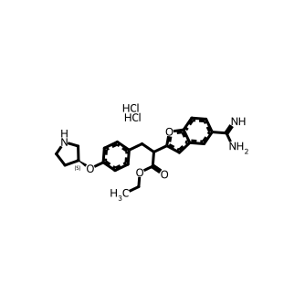 CCOC(=O)C(Cc1ccc(O[C@H]2CCNC2)cc1)c1cc2cc(C(=N)N)ccc2o1.Cl.Cl